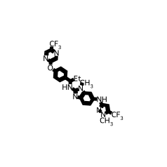 CCC(Nc1nc2ccc(Nc3cc(C(F)(F)F)n(C)n3)cc2n1C)c1ccc(Oc2cnc(C(F)(F)F)cn2)cc1